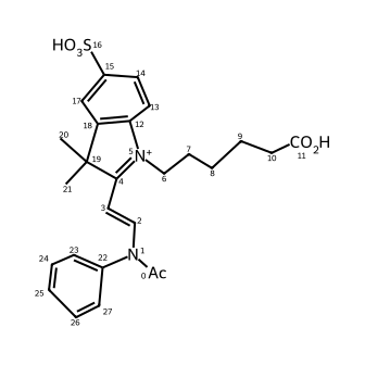 CC(=O)N(/C=C/C1=[N+](CCCCCC(=O)O)c2ccc(S(=O)(=O)O)cc2C1(C)C)c1ccccc1